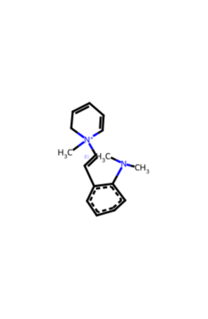 CN(C)c1ccccc1/C=C/[N+]1(C)C=CC=CC1